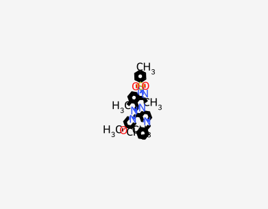 CO[C@@H]1CCN(c2nc(-c3c(C)ccc4c3c(C)nn4S(=O)(=O)c3ccc(C)cc3)nc3c2CN(Cc2ccccc2)CC3)CC1(C)C